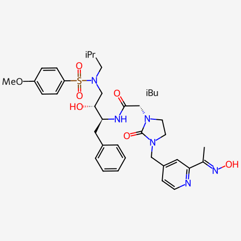 CC[C@H](C)[C@@H](C(=O)N[C@@H](Cc1ccccc1)[C@H](O)CN(CC(C)C)S(=O)(=O)c1ccc(OC)cc1)N1CCN(Cc2ccnc(/C(C)=N/O)c2)C1=O